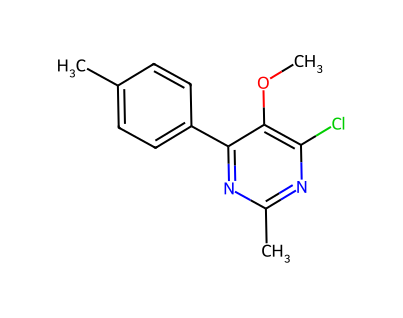 COc1c(Cl)nc(C)nc1-c1ccc(C)cc1